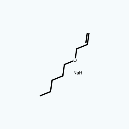 C=CCOCCCCC.[NaH]